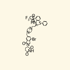 O=C1CCC(N2Cc3c(Br)cc(CN4CCN(CC[C@H](CSc5ccccc5)Nc5ccccc5S(=O)(=O)C(F)(F)F)CC4)cc3C2=O)C(=O)N1